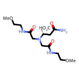 COCCNC(=O)CN(CC(=O)NCCOC)[C@@H](CC(N)=O)C(=O)O